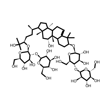 C[C@H](CC[C@@H](O[C@@H]1O[C@H](CO)[C@@H](O)[C@H](O)[C@H]1O[C@@H]1O[C@H](CO)[C@@H](O)[C@H](O)[C@H]1O)C(C)(C)O)C1CC[C@@]2(C)C3CC=C4C(CC[C@H](O[C@@H]5O[C@H](CO)[C@@H](O[C@H]6O[C@H](CO)[C@@H](O)[C@H](O)[C@H]6O)[C@H](O)[C@H]5O)C4(C)C)[C@]3(C)[C@H](O)C[C@]12C